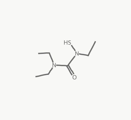 CCN(S)C(=O)N(CC)CC